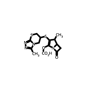 Cc1nnc2n1CC(SC1=C(OC(=O)O)N3C(=O)CC3C1C)CS2